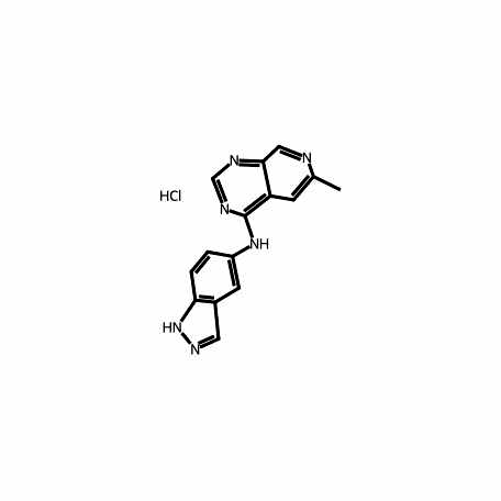 Cc1cc2c(Nc3ccc4[nH]ncc4c3)ncnc2cn1.Cl